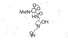 CNc1cc2c(c(C(=O)NC[C@@H]3CCN(CCCOC(C)C)CC3O)c1)OCCO2